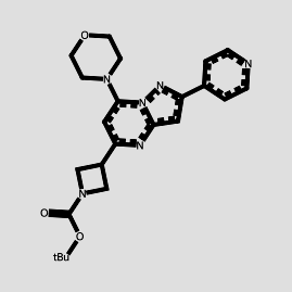 CC(C)(C)OC(=O)N1CC(c2cc(N3CCOCC3)n3nc(-c4ccncc4)cc3n2)C1